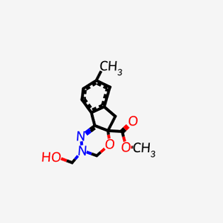 COC(=O)C12Cc3cc(C)ccc3C1=NN(CO)CO2